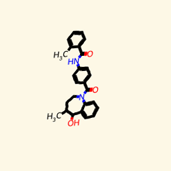 Cc1ccccc1C(=O)Nc1ccc(C(=O)N2CCC(C)C(O)c3ccccc32)cc1